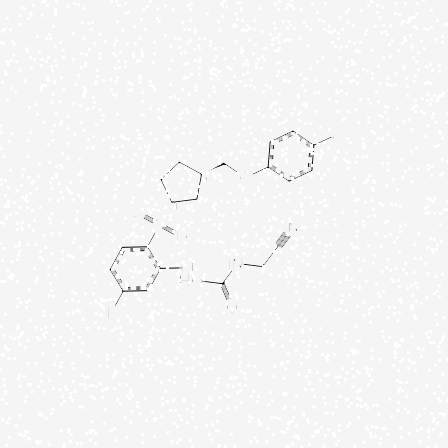 N#CCNC(=O)O.O=S(=O)(c1ccc(F)cc1Cl)[C@@H]1CC[C@@H](COc2ccc(F)cc2)C1